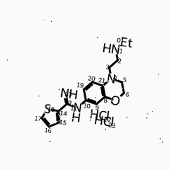 CCNCCN1CCOc2cc(NC(=N)c3cccs3)ccc21.Cl.Cl